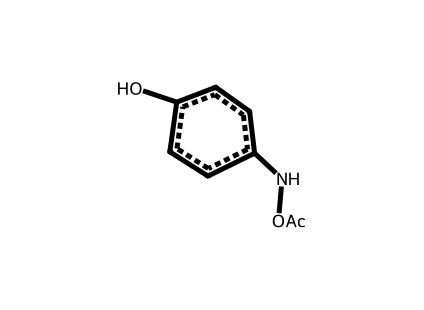 CC(=O)ONc1ccc(O)cc1